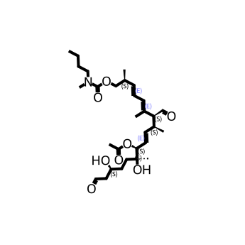 CCCCN(C)C(=O)OC[C@@H](C)/C=C/C=C(\C)[C@@H](C=O)[C@@H](C)/C=C/[C@H](OC(C)=O)[C@@](C)(O)CC[C@H](O)CC=O